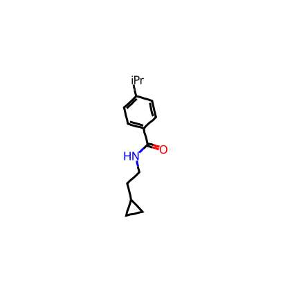 CC(C)c1ccc(C(=O)NCCC2CC2)cc1